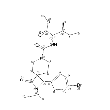 CC[C@H](C)[C@H](NC(=O)N1CCC2(CC1)C(=O)N(C(C)C)C2c1ccc(Br)cc1)C(=O)OC